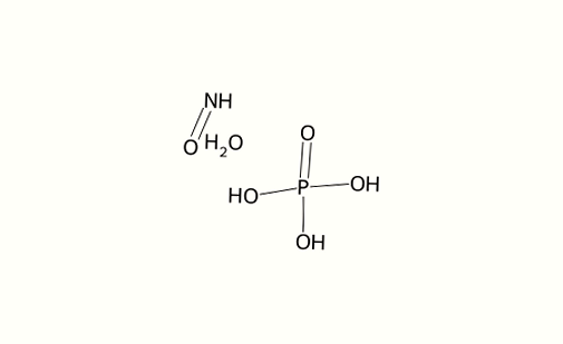 N=O.O.O=P(O)(O)O